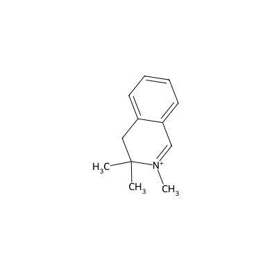 C[N+]1=Cc2ccccc2CC1(C)C